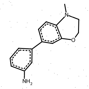 CN1CCOc2cc(-c3cccc(N)c3)ccc21